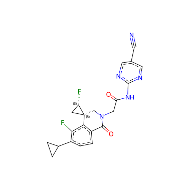 N#Cc1cnc(NC(=O)CN2C[C@@]3(C[C@@H]3F)c3c(ccc(C4CC4)c3F)C2=O)nc1